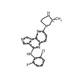 C[C@H]1CN(c2ccc3nc(Nc4c(F)cccc4Cl)c4cncn4c3n2)CCN1